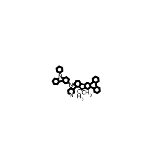 CC1(C)c2cc3c4ccccc4c4ccccc4c3cc2-c2ccc3c(c21)c1cnccc1n3-c1ccc2c(c1)c1ccccc1n2-c1ccccc1